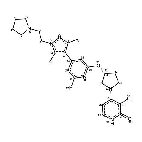 Cc1nn(CCN2CCCC2)c(C)c1-c1cc(F)nc(O[C@@H]2CCN(c3cn[nH]c(=O)c3Cl)C2)c1